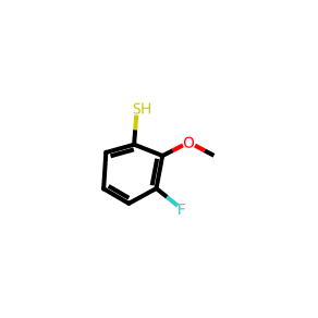 COc1c(F)cccc1S